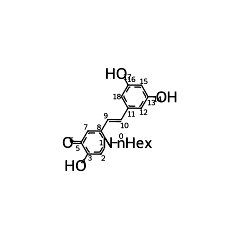 CCCCCCn1cc(O)c(=O)cc1C=Cc1cc(O)cc(O)c1